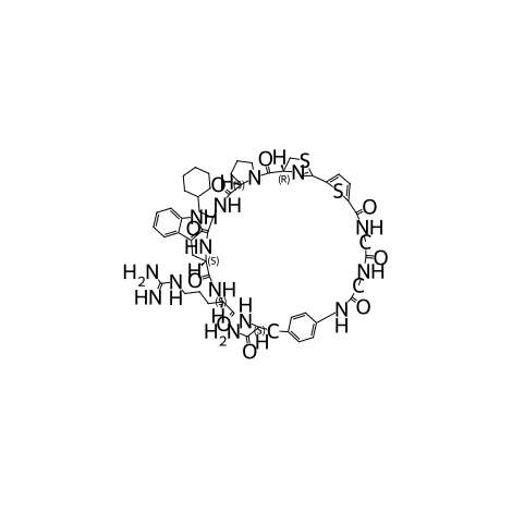 N=C(N)NCCC[C@@H]1NC(=O)[C@H](Cc2c[nH]c3ccccc23)NC(=O)C(CC2CCCCC2)NC(=O)[C@@H]2CCCN2C(=O)[C@@H]2CSC(=N2)c2ccc(s2)C(=O)NCC(=O)NCC(=O)Nc2ccc(cc2)C[C@@H](C(N)=O)NC1=O